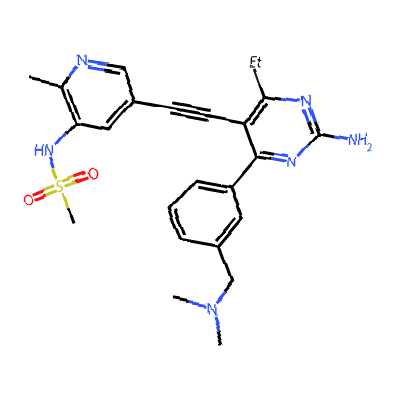 CCc1nc(N)nc(-c2cccc(CN(C)C)c2)c1C#Cc1cnc(C)c(NS(C)(=O)=O)c1